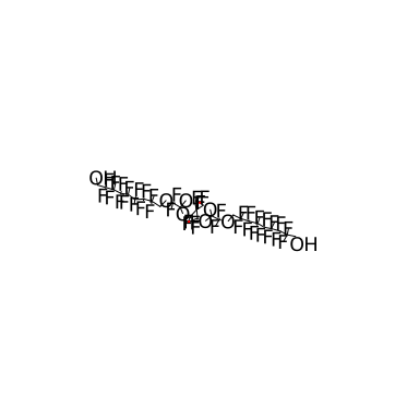 OCC(F)(F)C(F)(F)C(F)(F)C(F)(F)C(F)(F)C(F)(F)C(F)(F)COC(F)(F)C1OC(F)(F)C2(C(F)(F)O1)C(F)(F)OC(C(F)(F)OCC(F)(F)C(F)(F)C(F)(F)C(F)(F)C(F)(F)C(F)(F)C(F)(F)CO)OC2(F)F